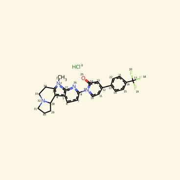 Cl.Cn1c2c(c3ccc(-n4ccc(-c5ccc(C(F)(F)F)cc5)cc4=O)nc31)C1CCCN1CC2